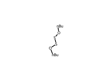 CCCCOSSOCCCC